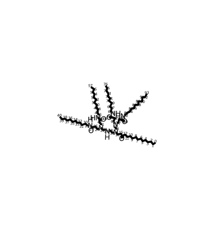 CCCCCCCCCCCCCC(=O)CCN(CCNCCN(CCC(=O)NCCCCCCCCCCCC)CCC(=O)NCCCCCCCCCCCC)CCN(CCC(=O)NCCCCCCCCCCC)CCC(=O)NCCCCCCCCCCCC